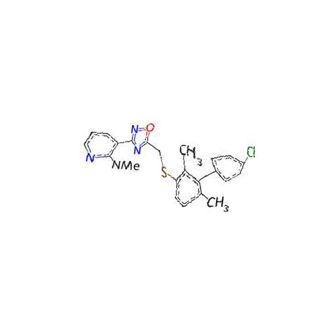 CNc1ncccc1-c1noc(CSc2ccc(C)c(-c3ccc(Cl)cc3)c2C)n1